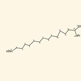 [CH2]CCCCCCCCCCCCCCCCCCCCCCC(CC)CC[CH2]